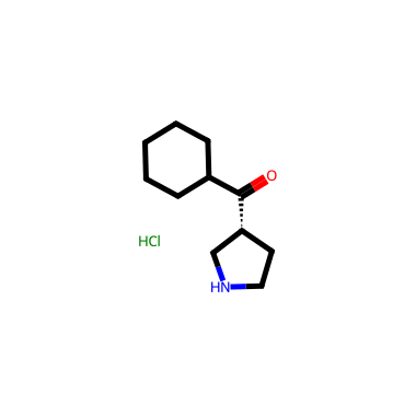 Cl.O=C(C1CCCCC1)[C@@H]1CCNC1